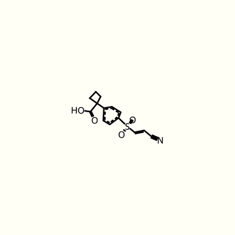 N#C/C=C/S(=O)(=O)c1ccc(C2(C(=O)O)CCC2)cc1